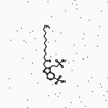 CCCCCCCCCCC(=S)Cc1nc2ccc(S(=O)(=O)O)cc2n1CCS(=O)(=O)O